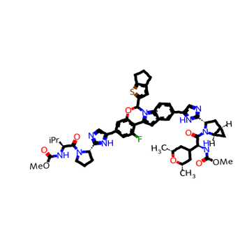 COC(=O)N[C@H](C(=O)N1CCC[C@H]1c1ncc(-c2cc(F)c3c(c2)OC(c2cc4c(s2)CCC4)n2c-3cc3cc(-c4cnc([C@@H]5C[C@H]6C[C@H]6N5C(=O)[C@@H](NC(=O)OC)C5C[C@@H](C)O[C@@H](C)C5)[nH]4)ccc32)[nH]1)C(C)C